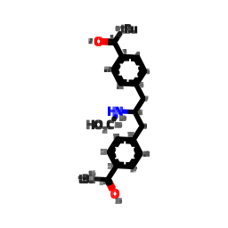 CC(C)(C)C(=O)c1ccc(CC(Cc2ccc(C(=O)C(C)(C)C)cc2)NC(=O)O)cc1